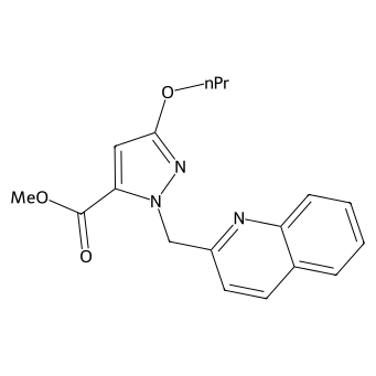 CCCOc1cc(C(=O)OC)n(Cc2ccc3ccccc3n2)n1